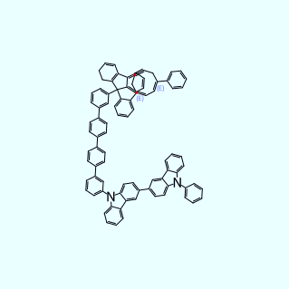 C1#CC/C(c2ccccc2C2(c3cccc(-c4ccc(-c5ccc(-c6cccc(-n7c8ccccc8c8cc(-c9ccc%10c(c9)c9ccccc9n%10-c9ccccc9)ccc87)c6)cc5)cc4)c3)C3=C(C=CCC3)c3ccccc32)=C\C=C(\c2ccccc2)C1